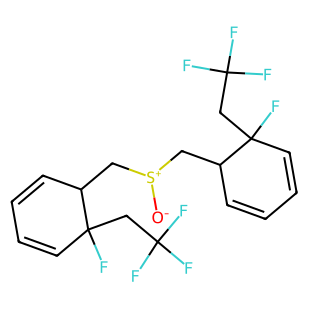 [O-][S+](CC1C=CC=CC1(F)CC(F)(F)F)CC1C=CC=CC1(F)CC(F)(F)F